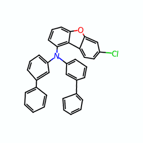 Clc1ccc2c(c1)oc1cccc(N(c3cccc(-c4ccccc4)c3)c3cccc(-c4ccccc4)c3)c12